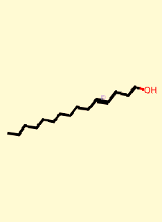 CCCCCCCCCC/C=C/CCCO